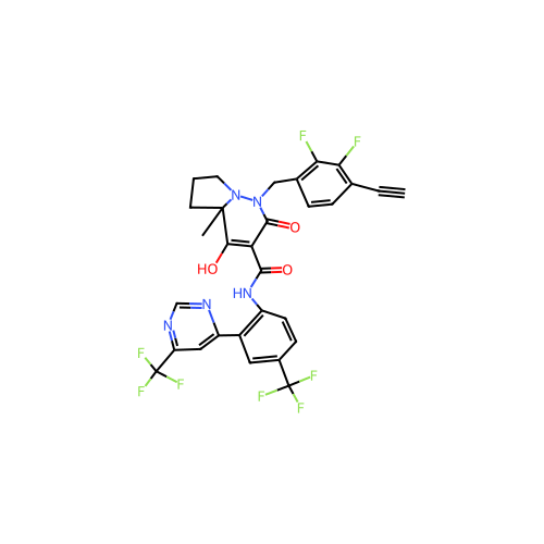 C#Cc1ccc(CN2C(=O)C(C(=O)Nc3ccc(C(F)(F)F)cc3-c3cc(C(F)(F)F)ncn3)=C(O)C3(C)CCCN23)c(F)c1F